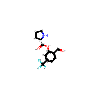 O=Cc1ccc(C(F)(F)F)cc1OC(=O)[C@@H]1CCCN1